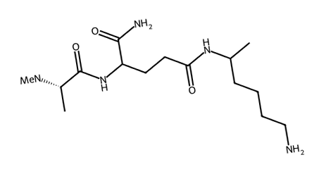 CN[C@@H](C)C(=O)NC(CCC(=O)NC(C)CCCCN)C(N)=O